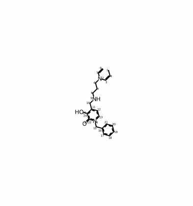 C=CN(/C=C\C)CCCNCc1ccn(Cc2ccccc2)c(=O)c1O